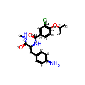 CNC(=O)C(Cc1ccc(N)cc1)NC(=O)c1ccc(OC(C)C)c(Cl)c1